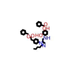 CCCCc1ncc(CNc2ccccc2O)n1-c1ccc(CC(=O)OCc2ccccc2)cc1.O=C(O)c1ccccc1